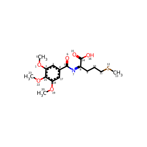 COc1cc(C(=O)/N=C(/CCCSC)C(=O)O)cc(OC)c1OC